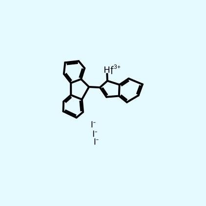 [Hf+3][CH]1C(C2c3ccccc3-c3ccccc32)=Cc2ccccc21.[I-].[I-].[I-]